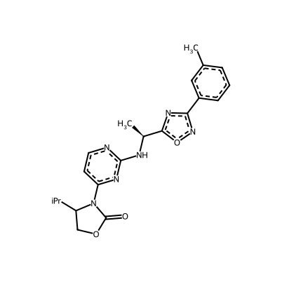 Cc1cccc(-c2noc([C@H](C)Nc3nccc(N4C(=O)OCC4C(C)C)n3)n2)c1